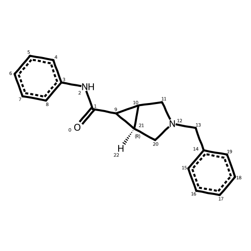 O=C(Nc1ccccc1)C1C2CN(Cc3ccccc3)C[C@H]21